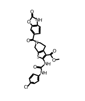 COC(=O)c1c(NC(=O)Nc2ccc(Cl)cc2)sc2c1CCN(C(=O)c1ccc3[nH]c(=O)oc3c1)C2